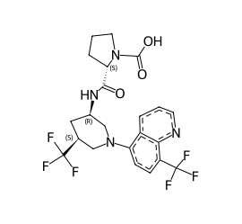 O=C(N[C@@H]1C[C@H](C(F)(F)F)CN(c2ccc(C(F)(F)F)c3ncccc23)C1)[C@@H]1CCCN1C(=O)O